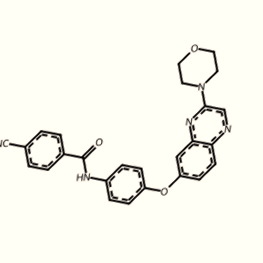 N#Cc1ccc(C(=O)Nc2ccc(Oc3ccc4ncc(N5CCOCC5)nc4c3)cc2)cc1